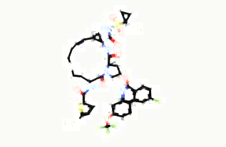 Cc1ccc(C(=O)N[C@H]2CCCCC/C=C\[C@@H]3C[C@@]3(C(=O)NS(=O)(=O)C3(C)CC3)NC(=O)[C@@H]3C[C@@H](Oc4nc5cc(OC(F)(F)F)ccc5c5cc(F)ccc45)CN3C2=O)s1